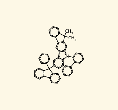 CC1(C)c2ccccc2-c2cc3c4cc(C5(c6ccccc6)c6ccccc6-c6ccccc65)ccc4n(-c4ccccc4-c4ccccc4)c3cc21